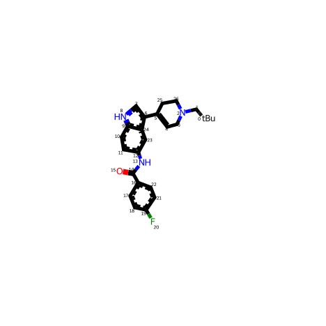 CC(C)(C)CN1CC=C(c2c[nH]c3ccc(NC(=O)c4ccc(F)cc4)cc23)CC1